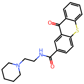 O=C(NCCN1CCCCC1)c1ccc2sc3ccccc3c(=O)c2c1